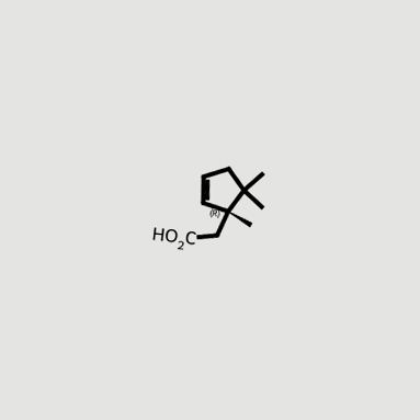 CC1(C)CC=C[C@@]1(C)CC(=O)O